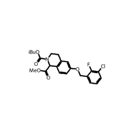 COC(=O)C1c2ccc(OCc3cccc(Cl)c3F)cc2CCN1C(=O)OCC(C)C